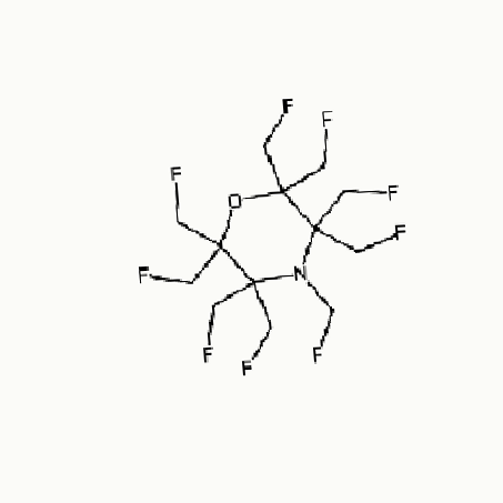 FCN1C(CF)(CF)C(CF)(CF)OC(CF)(CF)C1(CF)CF